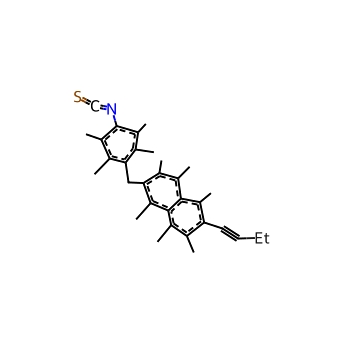 CCC#Cc1c(C)c(C)c2c(C)c(Cc3c(C)c(C)c(N=C=S)c(C)c3C)c(C)c(C)c2c1C